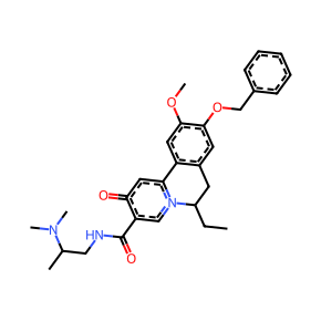 CCC1Cc2cc(OCc3ccccc3)c(OC)cc2-c2cc(=O)c(C(=O)NCC(C)N(C)C)cn21